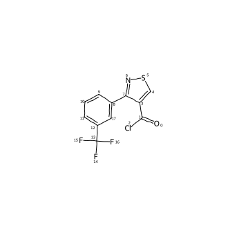 O=C(Cl)c1csnc1-c1cccc(C(F)(F)F)c1